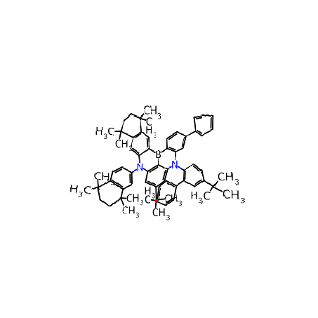 CC(C)(C)c1ccc(N2c3cc(-c4ccccc4)ccc3B3c4cc5c(cc4N(c4ccc6c(c4)C(C)(C)CCC6(C)C)c4cc(C(C)(C)C)cc2c43)C(C)(C)CCC5(C)C)c(-c2ccccc2)c1